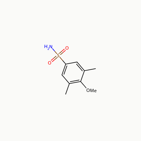 COc1c(C)cc(S(N)(=O)=O)cc1C